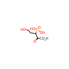 O=C(O)C(=O)C(CCO)P(=O)(O)O